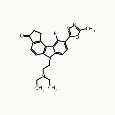 CCN(CC)CCn1c2ccc(-c3nnc(C)o3)c(F)c2c2c3c(ccc21)C(=O)CC3